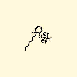 CCCCCCCC1(F)C=CC=CC1OS(=O)(=O)C(F)(F)F